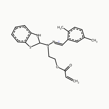 C=CC(=O)OCCN(/N=C/c1cc(C)ccc1C)C1Nc2ccccc2S1